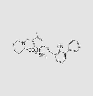 Cc1cc(/C=C/c2cccc(-c3ccccc3)c2C#N)c([SiH3])cc1CN1CCCCC1C(=O)O